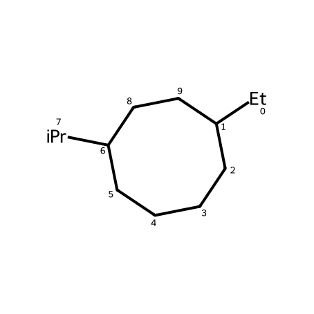 CCC1CCCCC(C(C)C)CC1